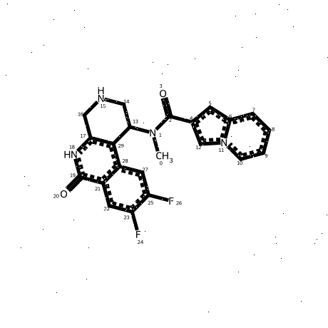 CN(C(=O)c1cc2ccccn2c1)C1CNCc2[nH]c(=O)c3cc(F)c(F)cc3c21